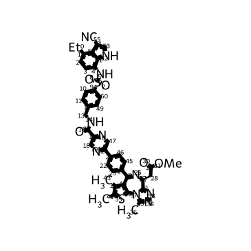 CCc1ccc(NS(=O)(=O)c2ccc(CNC(=O)c3cnc(-c4ccc(C5=N[C@@H](CC(=O)OC)c6nnc(C)n6-c6sc(C)c(C)c65)cc4)cn3)cc2)c2[nH]cc(C#N)c12